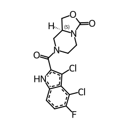 O=C(c1[nH]c2ccc(F)c(Cl)c2c1Cl)N1CCN2C(=O)OC[C@@H]2C1